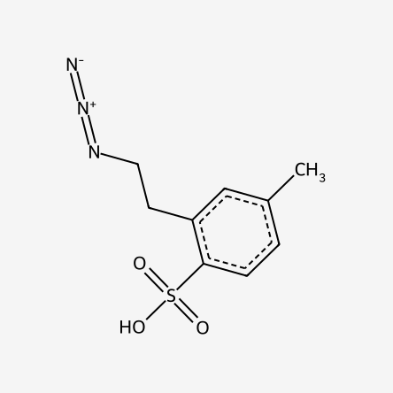 Cc1ccc(S(=O)(=O)O)c(CCN=[N+]=[N-])c1